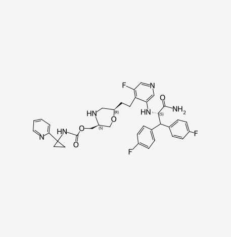 NC(=O)[C@@H](Nc1cncc(F)c1CC[C@@H]1CN[C@H](COC(=O)NC2(c3ccccn3)CC2)CO1)C(c1ccc(F)cc1)c1ccc(F)cc1